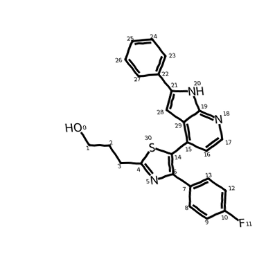 OCCCc1nc(-c2ccc(F)cc2)c(-c2ccnc3[nH]c(-c4ccccc4)cc23)s1